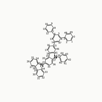 c1ccc(-c2cc(-c3ccccc3)cc(-c3ccc4c5cc(-n6c7ccccc7c7ccccc76)ccc5n(-c5ccccc5)c4c3)c2)cc1